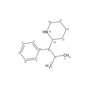 CC(C)C(c1ccccc1)C1CCCCN1